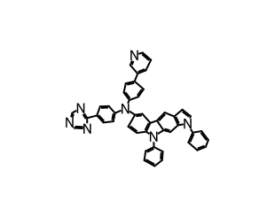 c1ccc(-n2ccc3cc4c5cc(N(c6ccc(-c7cccnc7)cc6)c6ccc(-c7ncncn7)cc6)ccc5n(-c5ccccc5)c4cc32)cc1